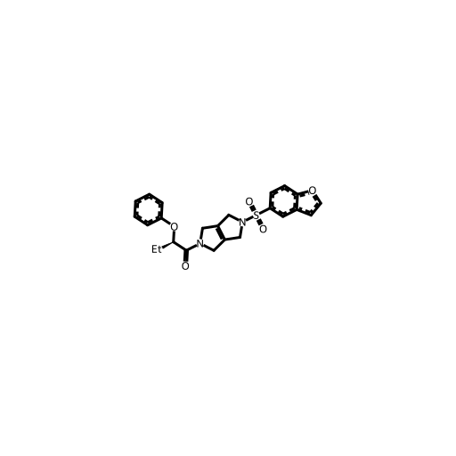 CC[C@@H](Oc1ccccc1)C(=O)N1CC2=C(C1)CN(S(=O)(=O)c1ccc3occc3c1)C2